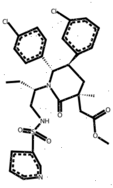 CC[C@@H](CNS(=O)(=O)c1cccnc1)N1C(=O)[C@](C)(CC(=O)OC)C[C@H](c2cccc(Cl)c2)[C@H]1c1ccc(Cl)cc1